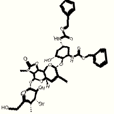 CC1C[C@@H]2OC(O[C@H]3OC(CO)[C@@H](C)[C@@H](O)C3O)C3C(OC(=O)N3C)C2O[C@@H]1O[C@@H]1C(NC(=O)OCc2ccccc2)C[C@@H](NC(=O)OCc2ccccc2)C[C@H]1O